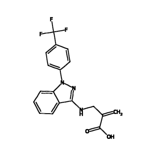 C=C(CNc1nn(-c2ccc(C(F)(F)F)cc2)c2ccccc12)C(=O)O